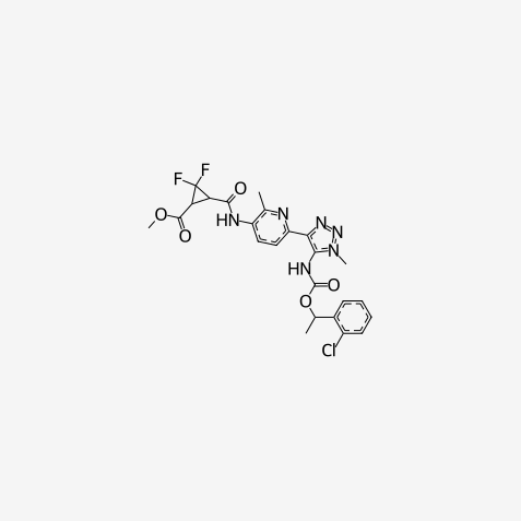 COC(=O)C1C(C(=O)Nc2ccc(-c3nnn(C)c3NC(=O)OC(C)c3ccccc3Cl)nc2C)C1(F)F